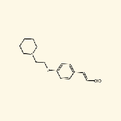 O=CC=Cc1ccc(OCCN2CCCCC2)cc1